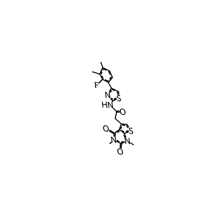 Cc1ccc(-c2csc(NC(=O)Cc3csc4c3c(=O)n(C)c(=O)n4C)n2)c(F)c1C